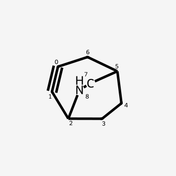 C1#CC2CCC(C1)CN2